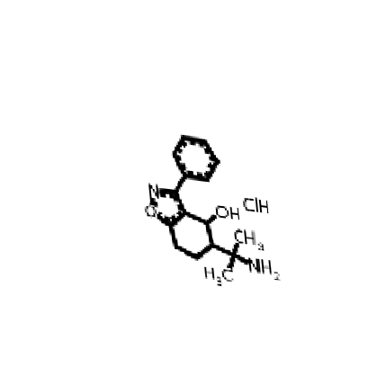 CC(C)(N)C1CCc2onc(-c3ccccc3)c2C1O.Cl